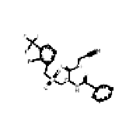 N#CCNC(=O)[C@H](CS(=O)(=O)Cc1cccc(C(F)(F)F)c1F)NC(=O)c1ccccc1